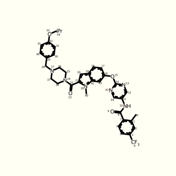 Cc1cc(C(F)(F)F)ccc1C(=O)Nc1cnc(Oc2ccc3cc(C(=O)N4CCN(Cc5ccc(OC(C)C)cc5)CC4)n(C)c3c2)nc1